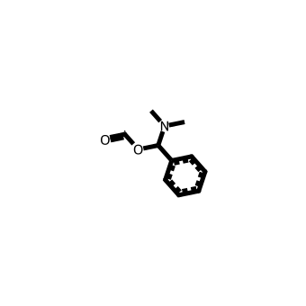 CN(C)C(O[C]=O)c1ccccc1